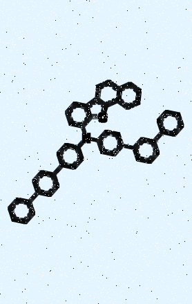 c1ccc(-c2ccc(-c3ccc(N(c4ccc(-c5cccc(-c6ccccc6)c5)cc4)c4cccc5c4oc4c6ccccc6ccc54)cc3)cc2)cc1